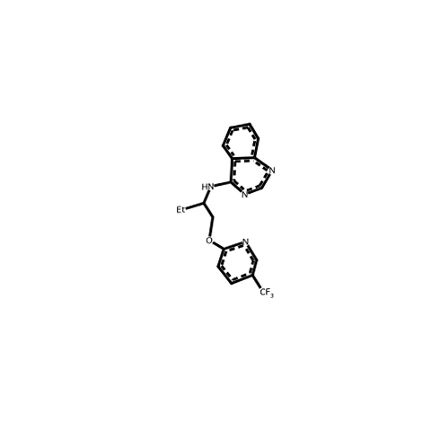 CCC(COc1ccc(C(F)(F)F)cn1)Nc1ncnc2ccccc12